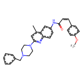 Cc1cc(N2CCN(Cc3ccccc3)CC2)nc2ccc(NC(=O)/C=C\c3ccc(OC(F)(F)F)cc3)cc12